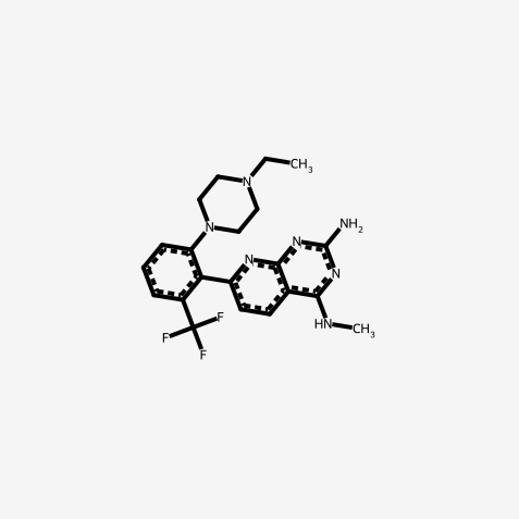 CCN1CCN(c2cccc(C(F)(F)F)c2-c2ccc3c(NC)nc(N)nc3n2)CC1